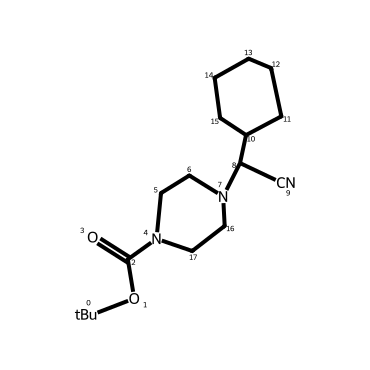 CC(C)(C)OC(=O)N1CCN(C(C#N)C2CCCCC2)CC1